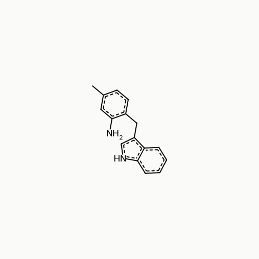 Cc1ccc(Cc2c[nH]c3ccccc23)c(N)c1